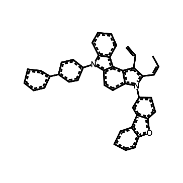 C=Cc1c(/C=C\C)n(-c2ccc3oc4ccccc4c3c2)c2ccc3c(c4ccccc4n3-c3ccc(-c4ccccc4)cc3)c12